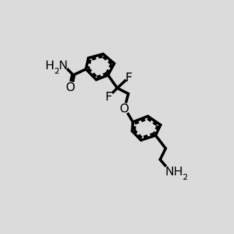 NCCc1ccc(OCC(F)(F)c2cccc(C(N)=O)c2)cc1